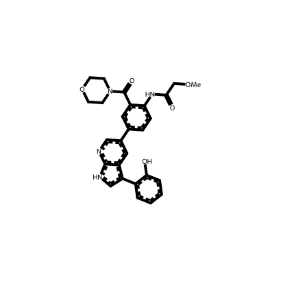 COCC(=O)Nc1ccc(-c2cnc3[nH]cc(-c4ccccc4O)c3c2)cc1C(=O)N1CCOCC1